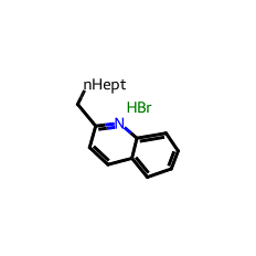 Br.CCCCCCCCc1ccc2ccccc2n1